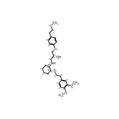 COCCc1ccc(OC[C@H](O)CN[C@@H]2CCCC[C@H]2OCCc2ccc(OC)c(OC)c2)cc1